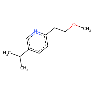 COCCc1ccc(C(C)C)cn1